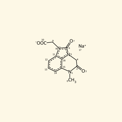 CN1C(=O)Cn2c(=O)n(CC(=O)[O-])c3cccc1c32.[Na+]